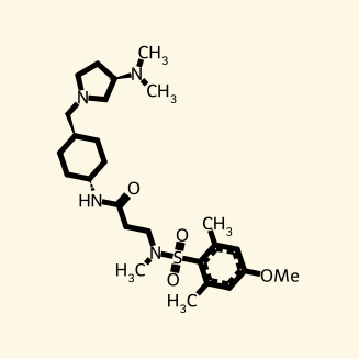 COc1cc(C)c(S(=O)(=O)N(C)CCC(=O)N[C@H]2CC[C@H](CN3CC[C@@H](N(C)C)C3)CC2)c(C)c1